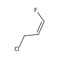 F/C=C\CCl